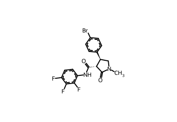 CN1C[C@H](c2ccc(Br)cc2)[C@@H](C(=O)Nc2ccc(F)c(F)c2F)C1=O